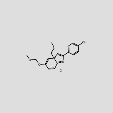 COCOC1=C[N+]2(COC)C=C(c3ccc(O)cc3)N=C2C=C1.[Cl-]